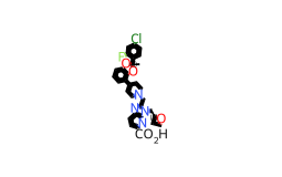 C[C@]1(c2ccc(Cl)cc2F)Oc2cccc(C3=CCN(Cc4nc5ccc(C(=O)O)nc5n4C[C@@H]4CCO4)CC3)c2O1